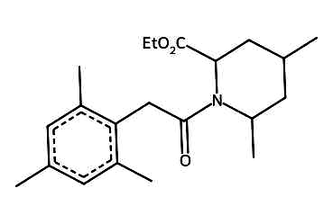 CCOC(=O)C1CC(C)CC(C)N1C(=O)Cc1c(C)cc(C)cc1C